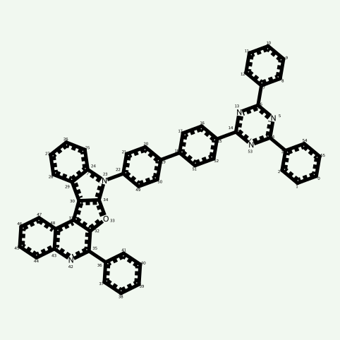 c1ccc(-c2nc(-c3ccccc3)nc(-c3ccc(-c4ccc(-n5c6ccccc6c6c7c(oc65)c(-c5ccccc5)nc5ccccc57)cc4)cc3)n2)cc1